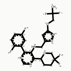 CC(F)(F)COc1cc(CNc2c(-c3cc(F)ccc3F)ncnc2C2CCC(F)(F)CO2)on1